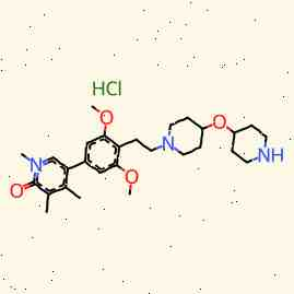 COc1cc(-c2cn(C)c(=O)c(C)c2C)cc(OC)c1CCN1CCC(OC2CCNCC2)CC1.Cl